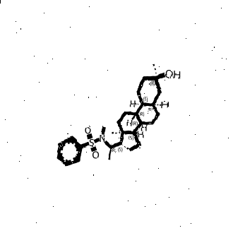 C[C@H]([C@H]1CC[C@H]2[C@@H]3CC[C@@H]4C[C@](C)(O)CC[C@@H]4[C@H]3CC[C@]12C)N(C)S(=O)(=O)c1ccccc1